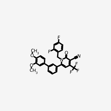 COc1ccc(-c2cccc(-c3cc(C(F)(F)F)c(C#N)c(=O)n3Cc3ccc(F)cc3F)c2)cc1OC